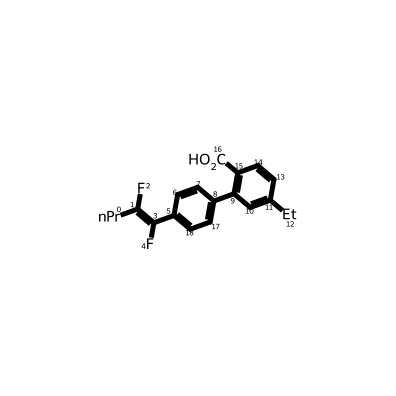 CCCC(F)=C(F)c1ccc(-c2cc(CC)ccc2C(=O)O)cc1